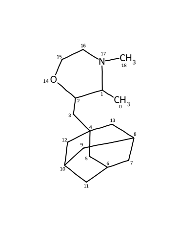 CC1C(CC23CC4CC(CC(C4)C2)C3)OCCN1C